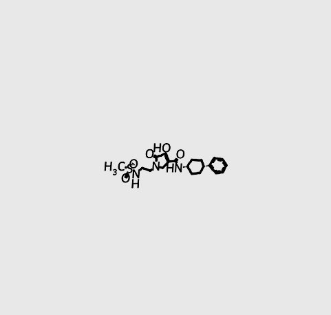 CS(=O)(=O)NCCN1CC(C(=O)N[C@H]2CC[C@@H](c3ccccc3)CC2)=C(O)C1=O